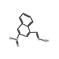 O=[N+]([O-])c1cc(C=NO)c2ccccc2c1